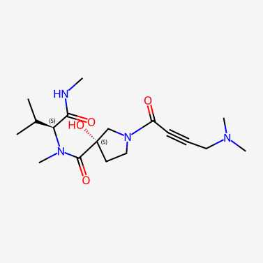 CNC(=O)[C@H](C(C)C)N(C)C(=O)[C@]1(O)CCN(C(=O)C#CCN(C)C)C1